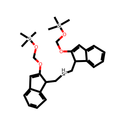 C[Si](C)(C)OCOC1=Cc2ccccc2C1C[SiH2]CC1C(OCO[Si](C)(C)C)=Cc2ccccc21